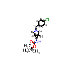 CC(C)(C)OC(=O)N[C@H]1[C@@H]2CN(Cc3ccc(Cl)cc3)C[C@@H]21